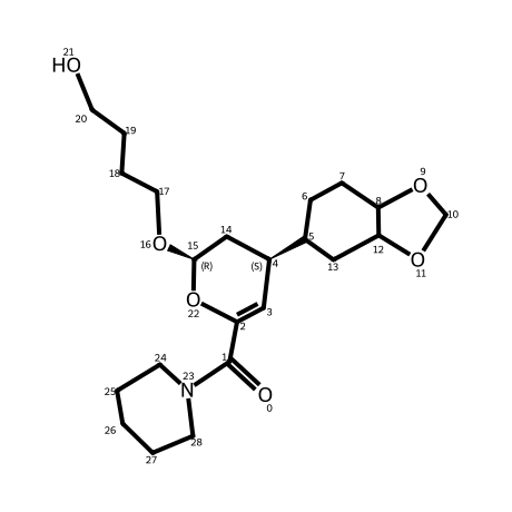 O=C(C1=C[C@H](C2CCC3OCOC3C2)C[C@H](OCCCCO)O1)N1CCCCC1